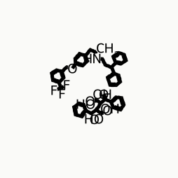 CC(Cc1ccc(OCc2cccc(C(F)(F)F)c2)cc1)NCCC(c1ccccc1)c1ccccc1.O=C(O)C(O)(C(=O)c1ccccc1)C(O)(C(=O)O)C(=O)c1ccccc1